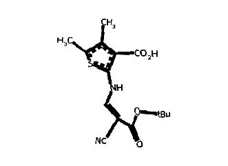 Cc1sc(NC=C(C#N)C(=O)OC(C)(C)C)c(C(=O)O)c1C